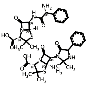 CC1(C)S[C@@H]2[C@H](N3C(=O)C(c4ccccc4)NC3(C)C)C(=O)N2[C@H]1C(=O)O.CC1(C)S[C@@H]2[C@H](NC(=O)[C@H](N)c3ccccc3)C(=O)N2[C@H]1C(=O)O